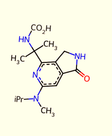 CC(C)N(C)c1cc2c(c(C(C)(C)NC(=O)O)n1)CNC2=O